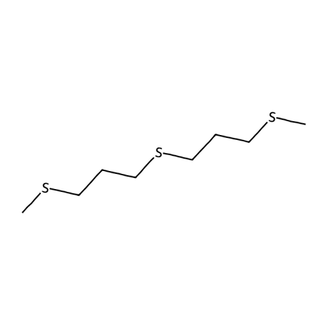 CSCCCSCCCSC